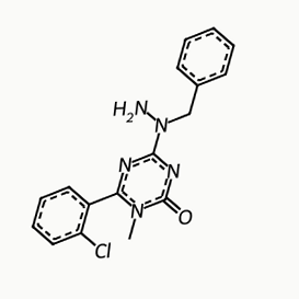 Cn1c(-c2ccccc2Cl)nc(N(N)Cc2ccccc2)nc1=O